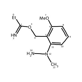 CCC(=N)OCc1c(OC)cccc1N(C)N